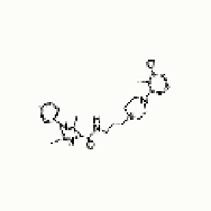 Cc1c(Cl)cccc1N1CCN(CCCNC(=O)c2nc(C)n(-c3ccccc3)c2C)CC1